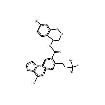 [2H]C([2H])([2H])OCc1cc2nc(N)c3cncn3c2cc1C(=O)NC1COCc2nc(C(F)(F)F)ccc21